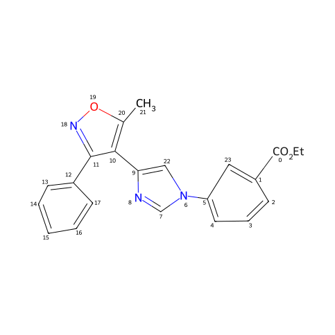 CCOC(=O)c1cccc(-n2cnc(-c3c(-c4ccccc4)noc3C)c2)c1